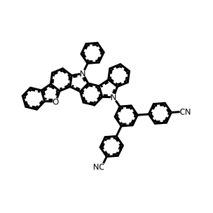 N#Cc1ccc(-c2cc(-c3ccc(C#N)cc3)cc(-n3c4ccccc4c4c3ccc3c5c6oc7ccccc7c6ccc5n(-c5ccccc5)c34)c2)cc1